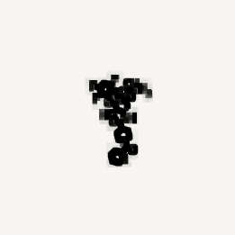 CC(C)(C)OC(=O)C[C@H](NC(=O)C1CCN(C(=O)c2ccccn2)CC1)C(O)COc1c(F)c(F)cc(F)c1F